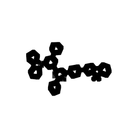 CC1(C)c2ccccc2-c2ccc(-c3ccc(-c4cc(-c5cc(-c6ccccc6)cc(-n6c7ccccc7c7ccccc76)c5)nc(-c5ccccc5)n4)cc3)cc21